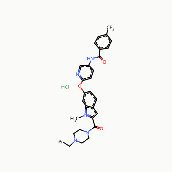 CC(C)CN1CCN(C(=O)c2cc3ccc(Oc4ccc(NC(=O)c5ccc(C(F)(F)F)cc5)cn4)cc3n2C)CC1.Cl